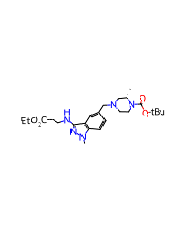 CCOC(=O)CCNc1nn(C)c2ccc(CN3CCN(C(=O)OC(C)(C)C)[C@@H](C)C3)cc12